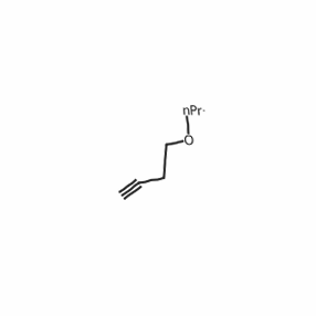 C#CCCO[CH]CC